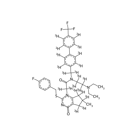 [2H]c1c([2H])c(C(F)(F)F)c([2H])c([2H])c1-c1c([2H])c([2H])c(C([2H])([2H])N(C(=O)C([2H])([2H])n2c(SCc3ccc(F)cc3)nc(=O)c3c2C([2H])([2H])C([2H])(C)C3([2H])[2H])C([2H])([2H])C([2H])([2H])N(CC)CC)c([2H])c1[2H]